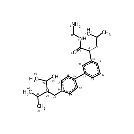 CC(C)C[C@@H](C(=O)NCN)c1cccc(-c2ccc(CN(C(C)C)C(C)C)cc2)c1